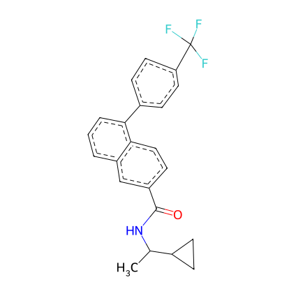 CC(NC(=O)c1ccc2c(-c3ccc(C(F)(F)F)cc3)cccc2c1)C1CC1